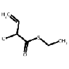 C=CC(Cl)C(=O)SCC